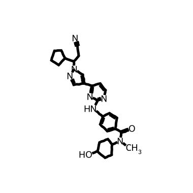 CN(C(=O)c1ccc(Nc2nccc(-c3cnn(C(CC#N)C4CCCC4)c3)n2)cc1)C1CCC(O)CC1